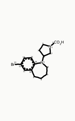 O=C(O)N1CCC(N2CCCCc3cc(Br)ccc32)C1